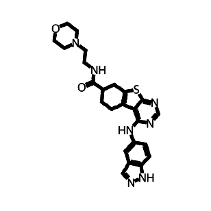 O=C(NCCN1CCOCC1)C1CCc2c(sc3ncnc(Nc4ccc5[nH]ncc5c4)c23)C1